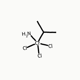 C[CH](C)[Cr]([NH2])([Cl])([Cl])[Cl]